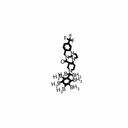 Bc1c(B)c(B)c(C(B)(B)N2CCC3=C(C2)C(=O)N(Cc2ccc(C(F)(F)F)cc2)C2=NCCN23)c(B)c1B